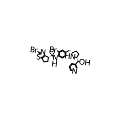 O=C(Nc1ccc(C[C@@H]2CC[C@H](C(O)c3cccnc3)N2)cc1Br)[C@@H]1CCc2sc(Br)nc21